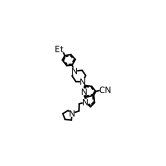 CCc1ccc(N2CCN(c3cc(C#N)c4ccn(CCN5CCCC5)c4n3)CC2)cc1